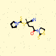 C[C@@](C#N)(CCC(=O)N1CCSC1=S)SC(=S)n1cccc1